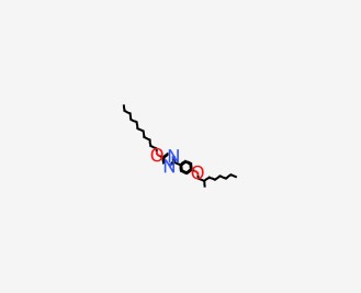 CCCCCCCCCCCOc1cnc(-c2ccc(OCC(C)CCCCCC)cc2)nc1